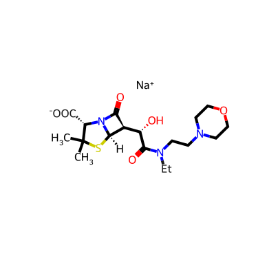 CCN(CCN1CCOCC1)C(=O)[C@@H](O)[C@@H]1C(=O)N2[C@@H]1SC(C)(C)[C@@H]2C(=O)[O-].[Na+]